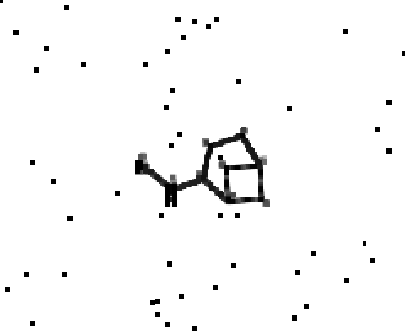 CCNC1CCC2CC1C2